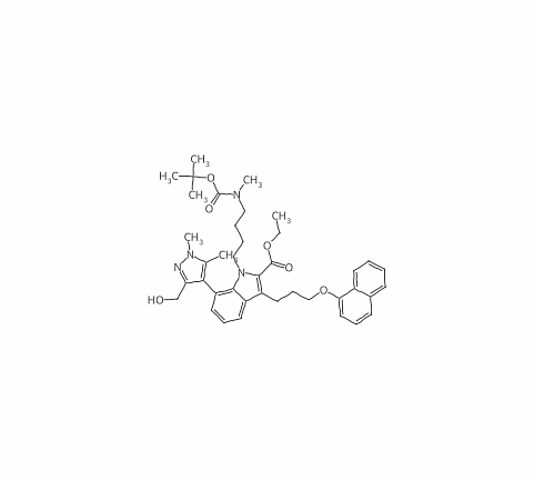 CCOC(=O)c1c(CCCOc2cccc3ccccc23)c2cccc(-c3c(CO)nn(C)c3C)c2n1CCCCN(C)C(=O)OC(C)(C)C